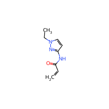 C=CC(=O)Nc1ccn(CC)n1